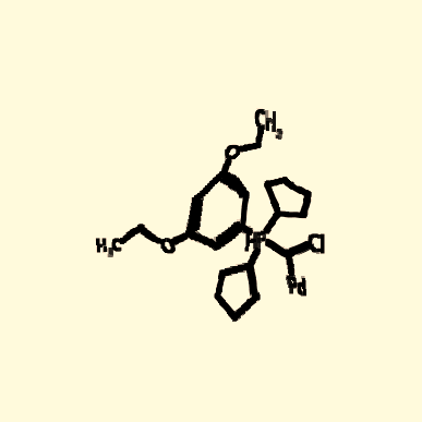 CCOc1cc(OCC)cc([PH]([CH](Cl)[Pd])(C2CCCC2)C2CCCC2)c1